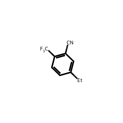 CCc1ccc(C(F)(F)F)c(C#N)c1